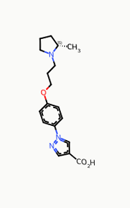 C[C@H]1CCCN1CCCOc1ccc(-n2cc(C(=O)O)cn2)cc1